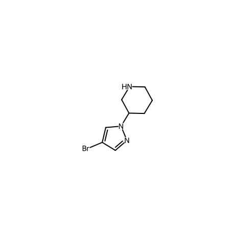 Brc1cnn(C2CCCNC2)c1